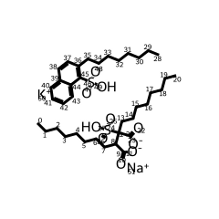 CCCCCCCCC(C(=O)[O-])C(CCCCCCCC)(C(=O)[O-])S(=O)(=O)O.CCCCCCCCc1ccc2ccccc2c1S(=O)(=O)O.[K+].[Na+]